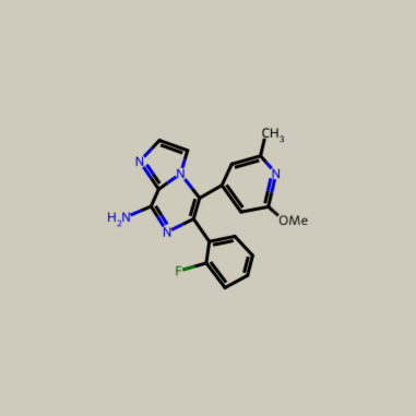 COc1cc(-c2c(-c3ccccc3F)nc(N)c3nccn23)cc(C)n1